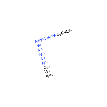 [Ge+4].[Ge+4].[Ge+4].[N-3].[N-3].[N-3].[N-3].[N-3].[N-3].[N-3].[N-3].[N-3].[N-3].[W+6].[W+6].[W+6]